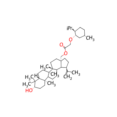 C=C(C)[C@@H]1CC[C@]2(COC(=O)CO[C@H]3C[C@@H](C)CC[C@@H]3C(C)C)CC[C@]3(C)C(CCC4[C@@]5(C)CC[C@H](O)C(C)(C)[C@@H]5CC[C@]43C)C12